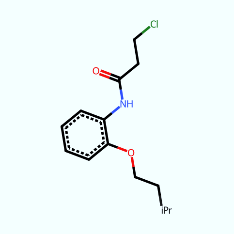 CC(C)CCOc1ccccc1NC(=O)CCCl